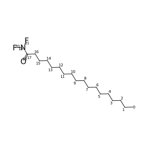 CCCCCCCCCCCCCCCCCC(=O)N(F)F